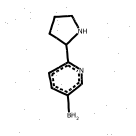 Bc1ccc(C2CCCN2)nc1